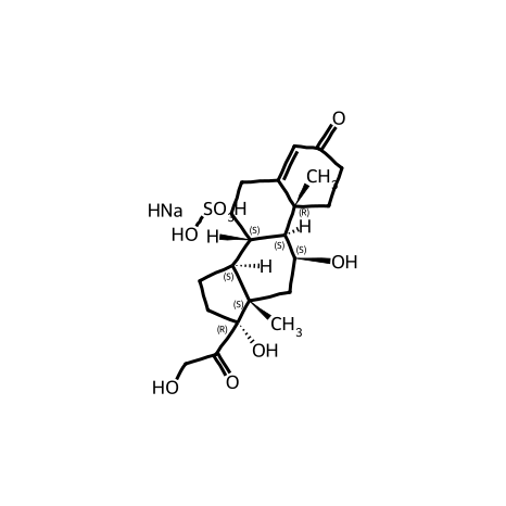 C[C@]12CCC(=O)C=C1CC[C@@H]1[C@@H]2[C@@H](O)C[C@@]2(C)[C@H]1CC[C@]2(O)C(=O)CO.O=S(=O)(O)O.[NaH]